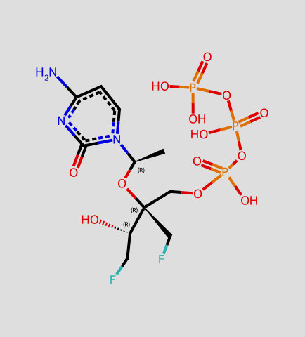 C[C@@H](O[C@](CF)(COP(=O)(O)OP(=O)(O)OP(=O)(O)O)[C@@H](O)CF)n1ccc(N)nc1=O